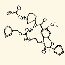 CC(C)N(C(=O)c1cc2c(cc1C(F)(F)F)O[C@@](C)(c1ccccc1)C(=O)N2CCNC(=O)OCc1ccccc1)[C@@H]1CCCN(OC(=O)C(C)(C)C)C1